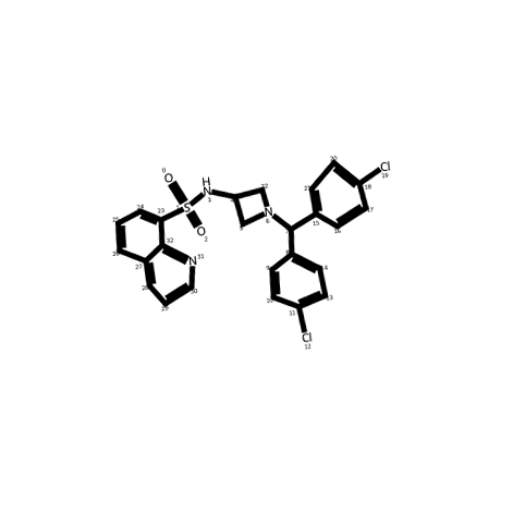 O=S(=O)(NC1CN(C(c2ccc(Cl)cc2)c2ccc(Cl)cc2)C1)c1cccc2cccnc12